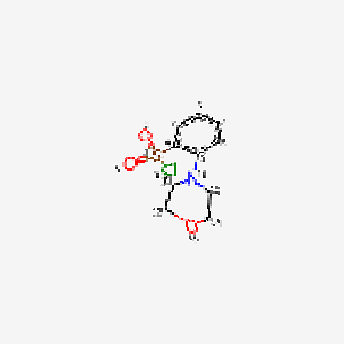 O=S(=O)(Cl)c1ccccc1N1CCOCC1